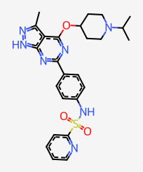 Cc1n[nH]c2nc(-c3ccc(NS(=O)(=O)c4ccccn4)cc3)nc(OC3CCN(C(C)C)CC3)c12